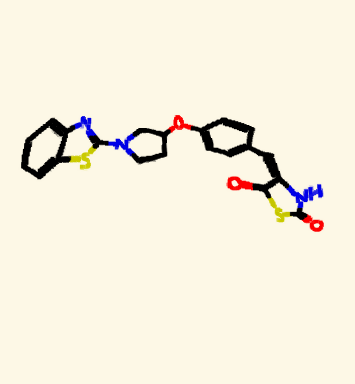 O=C1NC(=Cc2ccc(OC3CCN(c4nc5ccccc5s4)C3)cc2)C(=O)S1